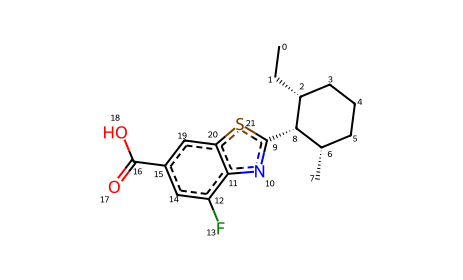 CC[C@@H]1CCC[C@H](C)[C@@H]1c1nc2c(F)cc(C(=O)O)cc2s1